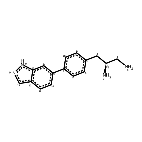 NC[C@@H](N)Cc1ccc(-c2ccc3cn[nH]c3c2)cc1